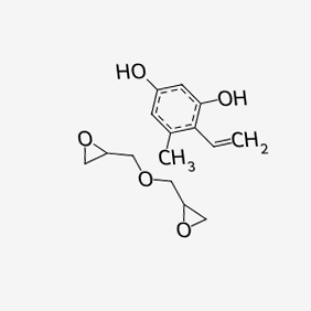 C(OCC1CO1)C1CO1.C=Cc1c(C)cc(O)cc1O